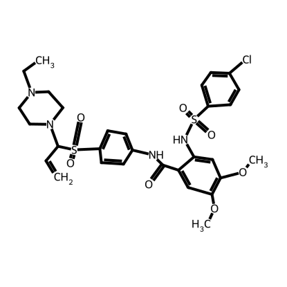 C=CC(N1CCN(CC)CC1)S(=O)(=O)c1ccc(NC(=O)c2cc(OC)c(OC)cc2NS(=O)(=O)c2ccc(Cl)cc2)cc1